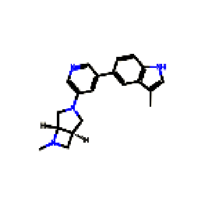 Cc1c[nH]c2ccc(-c3cncc(N4C[C@H]5CN(C)[C@@H]5C4)c3)cc12